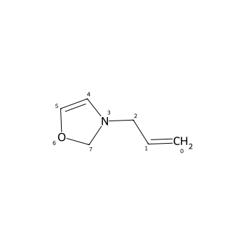 C=CCN1C=COC1